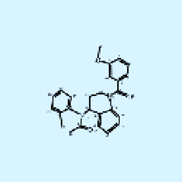 COc1cccc(C(=O)N2CCC(N(C(C)=O)c3ccccc3C)c3ccccc32)c1